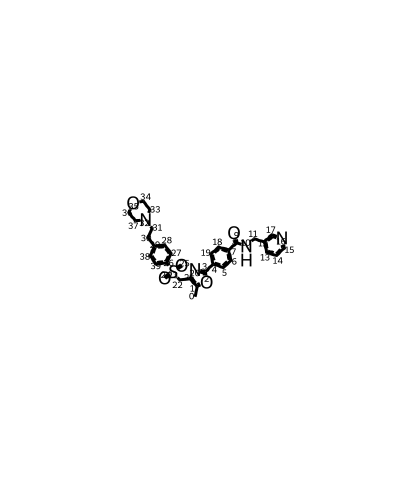 Cc1oc(-c2ccc(C(=O)NCc3cccnc3)cc2)nc1CS(=O)(=O)c1ccc(CCN2CCOCC2)cc1